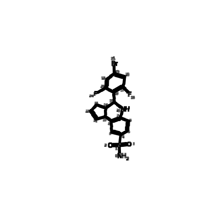 NS(=O)(=O)c1ccc2c(c1)C1C=CCC1C(c1c(F)cc(Br)cc1F)N2